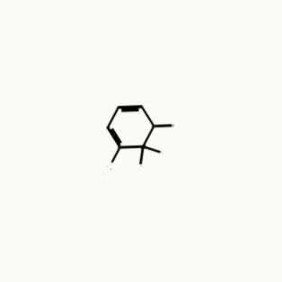 CC1(Cl)C(N)=CC=CC1O